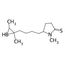 CC1BC1(C)CCCCC1CCC(=S)N1C